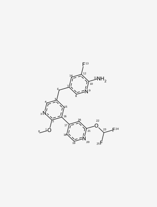 COc1ncc(Cc2cnc(N)c(F)c2)cc1-c1ccnc(OC(F)F)c1